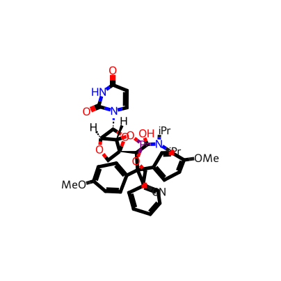 COc1ccc(C(c2ccccc2)(c2ccc(OC)cc2)C(CO)[C@]23CO[C@@H]([C@H](n4ccc(=O)[nH]c4=O)O2)[C@@H]3OP(OCCC#N)N(C(C)C)C(C)C)cc1